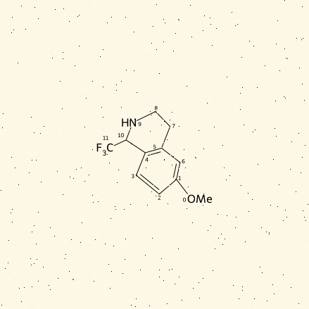 COc1ccc2c(c1)CCNC2C(F)(F)F